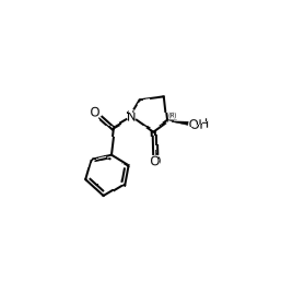 O=C(c1ccccc1)N1CC[C@@H](O)C1=O